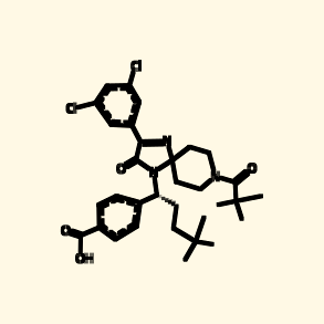 CC(C)(C)CC[C@H](c1ccc(C(=O)O)cc1)N1C(=O)C(c2cc(Cl)cc(Cl)c2)=NC12CCN(C(=O)C(C)(C)C)CC2